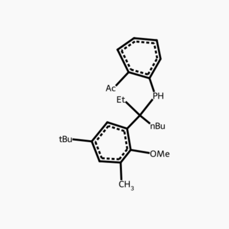 CCCCC(CC)(Pc1ccccc1C(C)=O)c1cc(C(C)(C)C)cc(C)c1OC